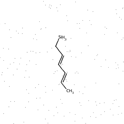 C/C=C/C=C/C[SiH3]